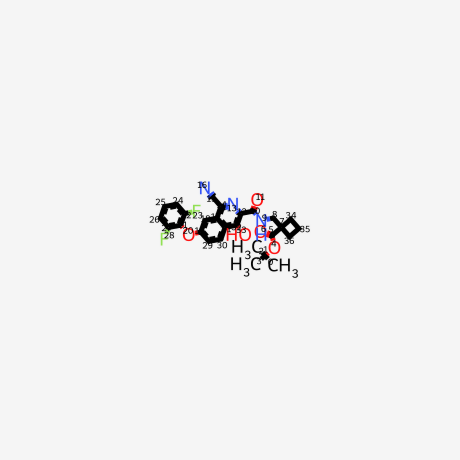 CC(C)(C)OC(=O)C1(CNC(=O)c2nc(C#N)c3cc(Oc4c(F)cccc4F)ccc3c2O)CCC1